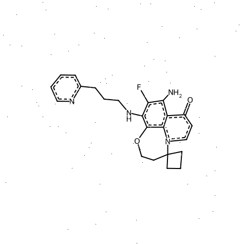 Nc1c(F)c(NCCCc2ccccn2)c2c3c1c(=O)ccn3C1(CCC1)CCO2